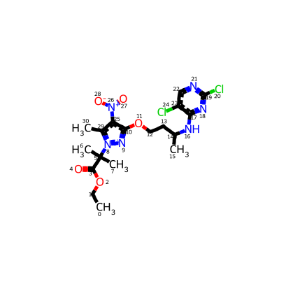 CCOC(=O)C(C)(C)n1nc(OCCC(C)Nc2nc(Cl)ncc2Cl)c([N+](=O)[O-])c1C